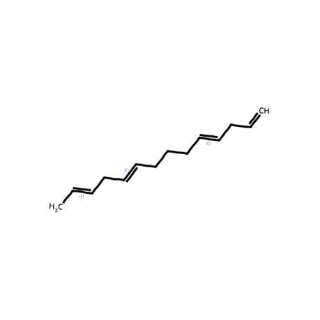 [CH]=CC/C=C/CCC/C=C/C/C=C/C